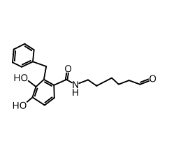 O=CCCCCCNC(=O)c1ccc(O)c(O)c1Cc1ccccc1